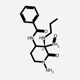 CCCN[C@@]1([PH2]=O)C(=O)N(N)CCC1NC(=O)c1ccccc1